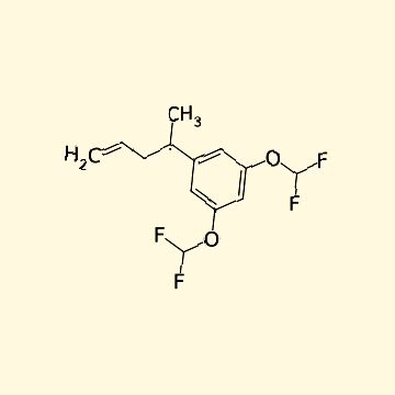 C=CC[C](C)c1cc(OC(F)F)cc(OC(F)F)c1